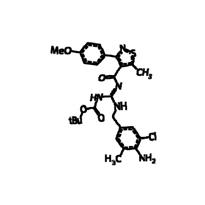 COc1ccc(-c2nsc(C)c2C(=O)/N=C(/NCc2cc(C)c(N)c(Cl)c2)NC(=O)OC(C)(C)C)cc1